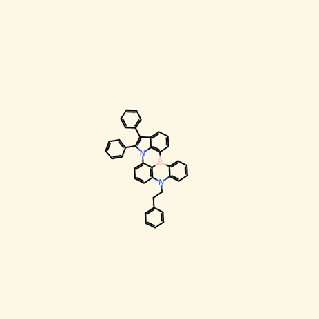 c1ccc(CCN2c3ccccc3B3c4c2cccc4-n2c(-c4ccccc4)c(-c4ccccc4)c4cccc3c42)cc1